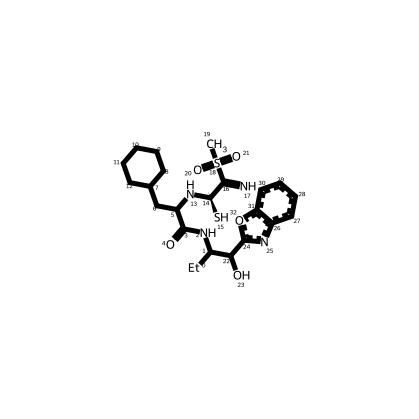 CCC(NC(=O)C(CC1CCCCC1)N[C@H](S)C(=N)S(C)(=O)=O)C(O)c1nc2ccccc2o1